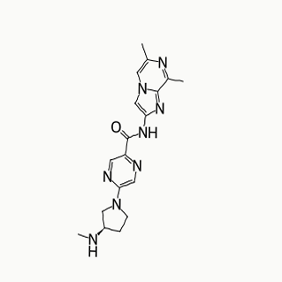 CN[C@@H]1CCN(c2cnc(C(=O)Nc3cn4cc(C)nc(C)c4n3)cn2)C1